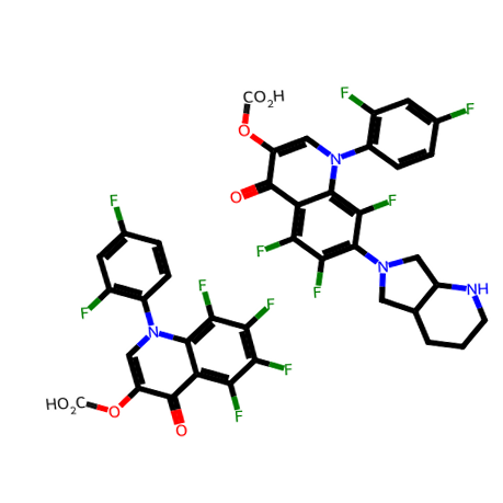 O=C(O)Oc1cn(-c2ccc(F)cc2F)c2c(F)c(F)c(F)c(F)c2c1=O.O=C(O)Oc1cn(-c2ccc(F)cc2F)c2c(F)c(N3CC4CCCNC4C3)c(F)c(F)c2c1=O